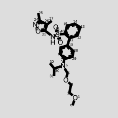 COCCOCN(c1ccc(-c2ccccc2S(=O)(=O)Nc2onc(C)c2C)cc1)C(C)C